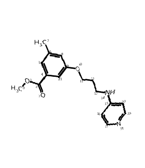 COC(=O)c1cc(C)cc(OCCCNc2ccncc2)c1